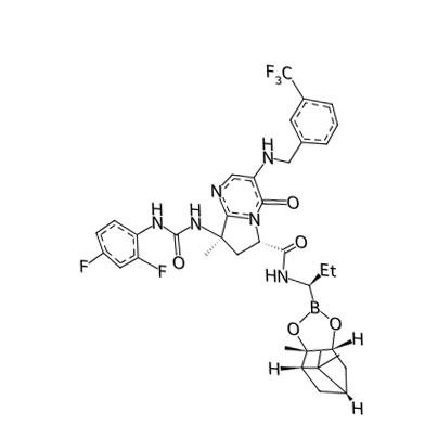 CC[C@H](NC(=O)[C@@H]1C[C@@](C)(NC(=O)Nc2ccc(F)cc2F)c2ncc(NCc3cccc(C(F)(F)F)c3)c(=O)n21)B1O[C@@H]2C[C@@H]3C[C@@H](C3(C)C)[C@]2(C)O1